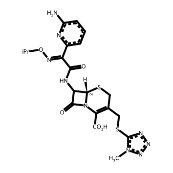 CC(C)ON=C(C(=O)NC1C(=O)N2C(C(=O)O)=C(CSc3nnnn3C)CS[C@@H]12)c1cccc(N)n1